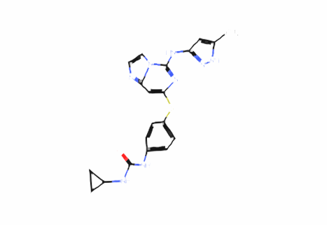 Cc1cc(Nc2nc(Sc3ccc(NC(=O)NC4CC4)cc3)cc3nccn23)n[nH]1